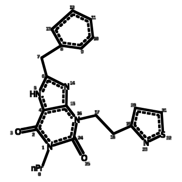 CCCn1c(=O)c2[nH]c(Cc3ccccc3)nc2n(CCc2ccsn2)c1=O